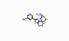 N#Cc1cncc(-c2cc3c(s2)CCCC32CCSC(N)=N2)c1